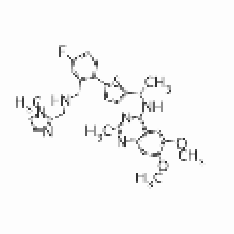 COc1cc2nc(C)nc(NC(C)c3ccc(-c4ccc(F)cc4CNCc4nccn4C)s3)c2cc1OC